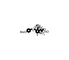 COc1ccc(COC(=O)c2cc([S])c([N+](=O)[O-])c(C(=O)C(Cl)(C=O)C(=O)C(F)(F)F)c2C(=O)OC(C)(C)C)cc1